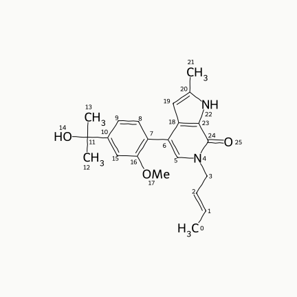 C/C=C/Cn1cc(-c2ccc(C(C)(C)O)cc2OC)c2cc(C)[nH]c2c1=O